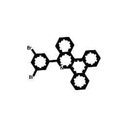 Brc1cc(Br)cc(-c2nc3c4ccccc4c4ccccc4c3c3ccccc23)c1